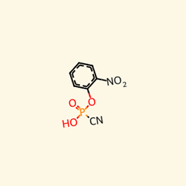 N#CP(=O)(O)Oc1ccccc1[N+](=O)[O-]